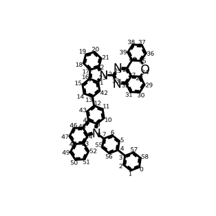 c1ccc(-c2ccc(-n3c4ccc(-c5ccc6c7ccccc7n(-c7nc8c9c(cccc9n7)Oc7ccccc7-8)c6c5)cc4c4ccc5ccccc5c43)cc2)cc1